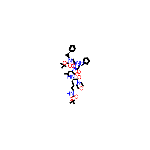 CC(C)C[C@@H](NC(=O)[C@@H](Cc1ccccc1)NC(=O)CN(C(=O)OC(C)(C)C)C1C[C@@H]1c1ccccc1)C(=O)N[C@H](CCCCNC(=O)OC(C)(C)C)C(=O)N1CCOCC1